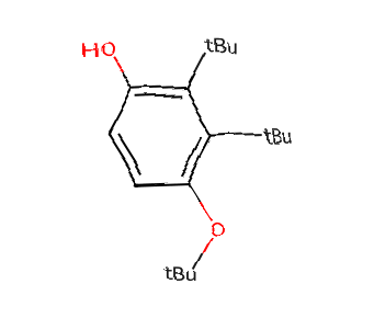 CC(C)(C)Oc1ccc(O)c(C(C)(C)C)c1C(C)(C)C